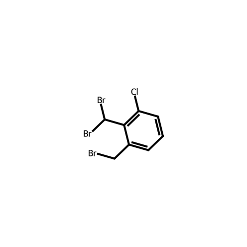 Clc1cccc(CBr)c1C(Br)Br